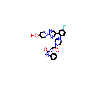 O=C(CN1C(=O)[N]c2ccccc21)N1CCN(c2ccc(F)cc2-c2cnc(N3CCC(O)CC3)nc2)CC1